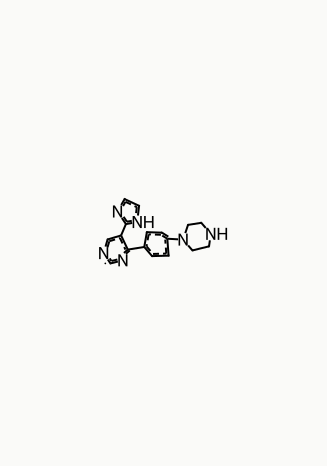 [c]1ncc(-c2ncc[nH]2)c(-c2ccc(N3CCNCC3)cc2)n1